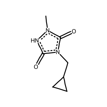 Cn1[nH]c(=O)n(CC2CC2)c1=O